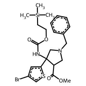 COC(=O)C1CN(Cc2ccccc2)CC1(NC(=O)OCC[Si](C)(C)C)c1cc(Br)cs1